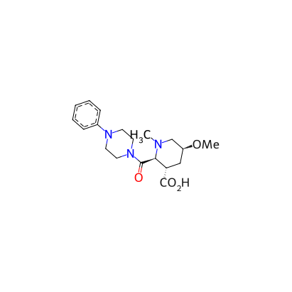 CO[C@H]1C[C@H](C(=O)O)[C@@H](C(=O)N2CCN(c3ccccc3)CC2)N(C)C1